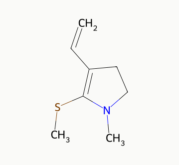 C=CC1=C(SC)N(C)CC1